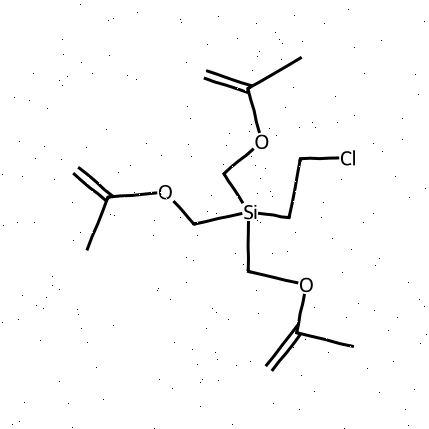 C=C(C)OC[Si](CCCl)(COC(=C)C)COC(=C)C